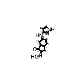 O=C1/C(=N\O)Cc2ccc(Nc3cc[nH]n3)cc21